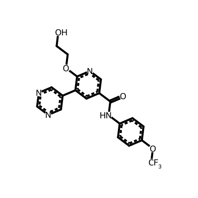 O=C(Nc1ccc(OC(F)(F)F)cc1)c1cnc(OCCO)c(-c2cncnc2)c1